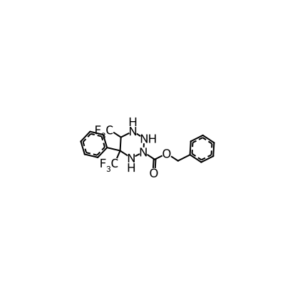 O=C(OCc1ccccc1)N1NNC(C(F)(F)F)C(c2ccccc2)(C(F)(F)F)N1